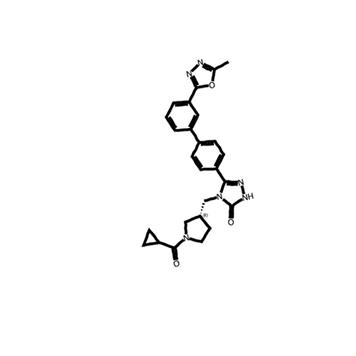 Cc1nnc(-c2cccc(-c3ccc(-c4n[nH]c(=O)n4C[C@@H]4CCN(C(=O)C5CC5)C4)cc3)c2)o1